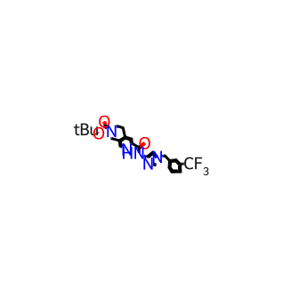 CC(C)(C)OC(=O)N1CCc2cc(C(=O)Nc3cn(Cc4cccc(C(F)(F)F)c4)cn3)ncc2C1